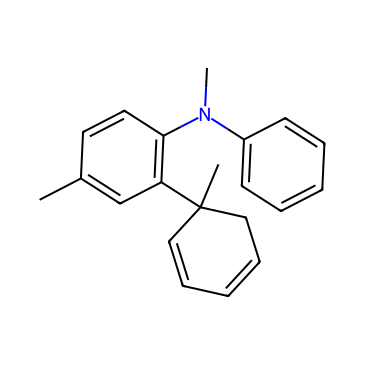 Cc1ccc(N(C)c2ccccc2)c(C2(C)C=CC=CC2)c1